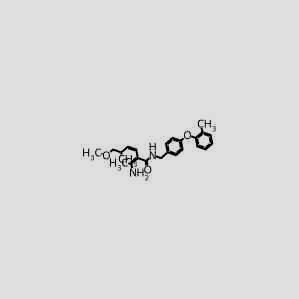 COCC(C)/C=C\C(C(=O)NCc1ccc(Oc2ccccc2C)cc1)=C(/C)N